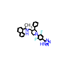 C[C@@H](NCC1CCN(c2c(F)cc(-c3nnn[nH]3)cc2F)CC1c1ccccc1)c1cccc2ccccc12